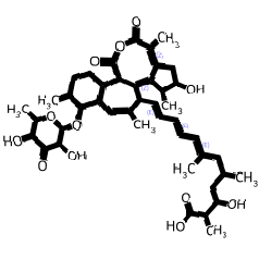 CC1=CC2C(CCC(C)C2OC2OC(C)C(O)C(=O)C2O)C2C(=O)OC(=O)/C(C)=C3/CC(O)C(C)/C3=C/2C1/C=C/C=C/C=C(\C)CC(C)CC(O)C(C)C(=O)O